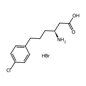 Br.N[C@@H](CCCc1ccc(Cl)cc1)CC(=O)O